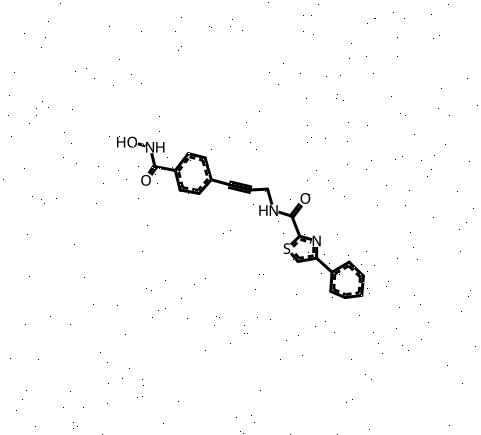 O=C(NO)c1ccc(C#CCNC(=O)c2nc(-c3ccccc3)cs2)cc1